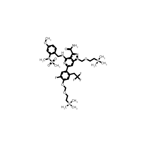 COc1ccc(CNc2nc(-c3cc(F)c(OCOCC[Si](C)(C)C)cc3CC(F)(F)F)cc3c2c(C(N)=O)nn3COCC[Si](C)(C)C)c(N(C)S(C)(=O)=O)c1